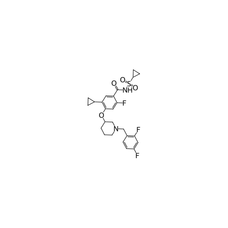 O=C(NS(=O)(=O)C1CC1)c1cc(C2CC2)c(OC2CCCN(Cc3ccc(F)cc3F)C2)cc1F